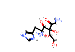 NCC(=O)C(O)(C(=O)C(N)Cc1c[nH]cn1)C(O)CO